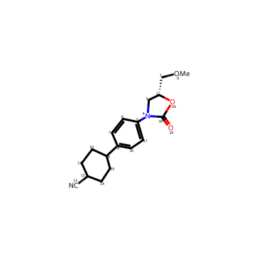 COC[C@H]1CN(c2ccc(C3CCC(C#N)CC3)cc2)C(=O)O1